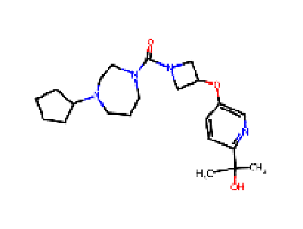 CC(C)(O)c1ccc(OC2CN(C(=O)N3CCCN(C4CCCC4)CC3)C2)cn1